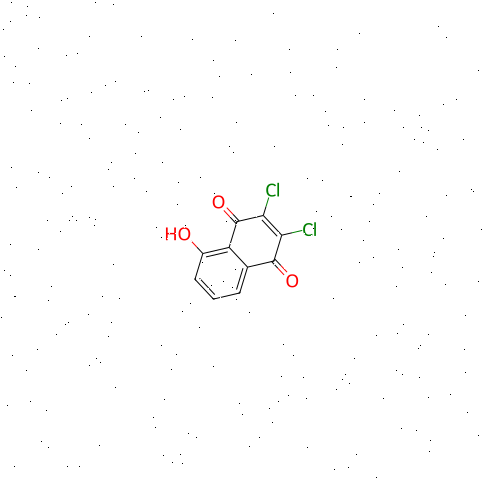 O=C1C(Cl)=C(Cl)C(=O)c2c(O)cccc21